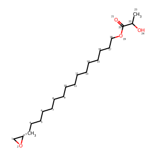 C1CO1.CCCCCCCCCCCCCCCCOC(=O)C(C)O